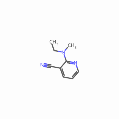 CCN(C)c1ncccc1C#N